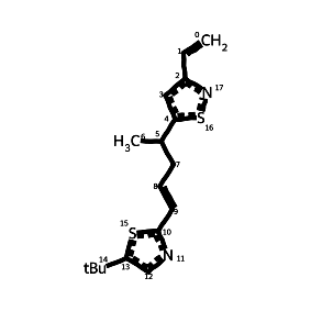 C=Cc1cc(C(C)C/C=C/c2ncc(C(C)(C)C)s2)sn1